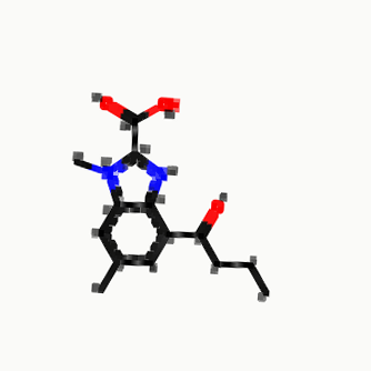 CCCC(=O)c1cc(C)cc2c1nc(C(=O)O)n2C